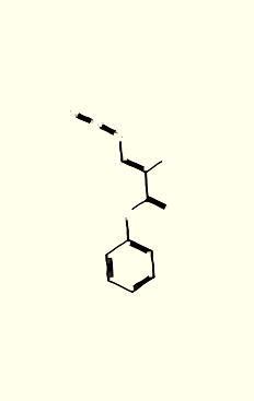 CC(=CN=[N+]=[N-])C(=O)Oc1ccccc1